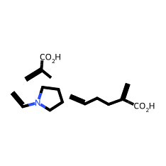 C=C(C)C(=O)O.C=CCCC(=C)C(=O)O.C=CN1CCCC1